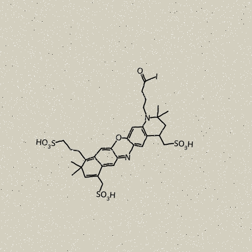 CC1(C)C=C(CS(=O)(=O)O)c2cc3c(cc2=C1CCCS(=O)(=O)O)Oc1cc2c(cc1N=3)C(CS(=O)(=O)O)CC(C)(C)N2CCCC(=O)I